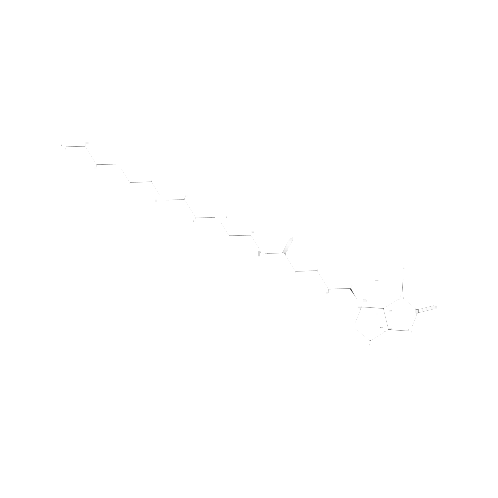 CCN1C(=O)N[C@H]2CS[C@@H](CCCCC(=O)NCCOCCOCCOCCN)[C@H]21